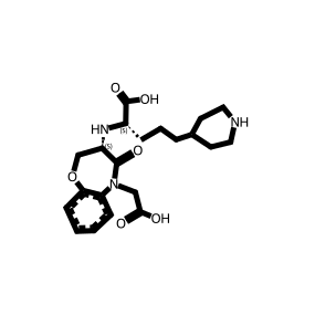 O=C(O)CN1C(=O)[C@@H](N[C@@H](CCCC2CCNCC2)C(=O)O)COc2ccccc21